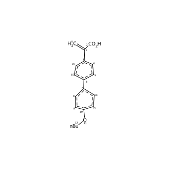 C=C(C(=O)O)c1ccc(-c2ccc(OCCCC)cc2)cc1